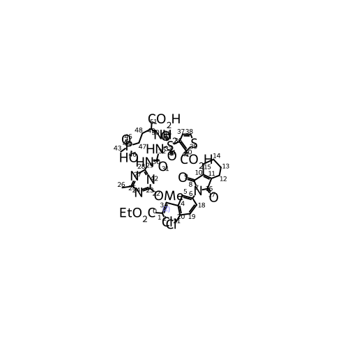 CCOC(=O)/C(Cl)=C/c1cc(N2C(=O)C3=C(CCCC3)C2=O)ccc1Cl.COc1nc(C)nc(NC(=O)NS(=O)(=O)c2ccsc2C(=O)O)n1.CP(=O)(O)CCC(N)C(=O)O